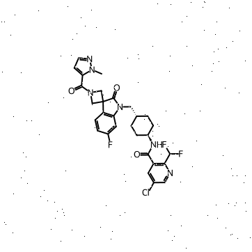 Cn1nccc1C(=O)N1CC2(C1)C(=O)N(C[C@H]1CC[C@H](NC(=O)c3cc(Cl)cnc3C(F)F)CC1)c1cc(F)ccc12